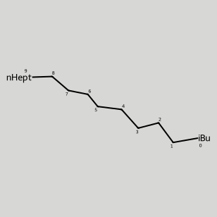 C[CH]C(C)CCCCCCCCCCCCCCC